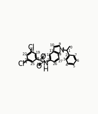 CC(c1ccccc1)n1ccc2cc(NS(=O)(=O)c3cc(Cl)cc(Cl)c3)ccc21